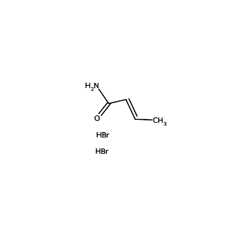 Br.Br.CC=CC(N)=O